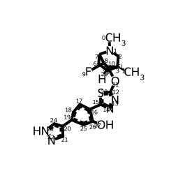 CN1C[C@]2(C)CCC1C(F)[C@H]2Oc1nnc(-c2ccc(-c3cn[nH]c3)cc2O)s1